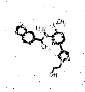 C=Nc1ncc(-c2cnn(CCO)c2)nc1N(N)C(C)c1ccc2ncsc2c1